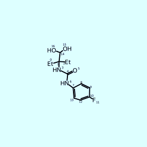 CCC(CC)(NC(=O)Nc1ccc(F)cc1)C(O)O